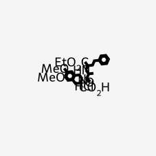 CCOC(=O)C(CCc1ccccc1)NC(C)C(=O)N1Cc2cc(OC)c(OC)cc2C[C@H]1C(=O)O.Cl